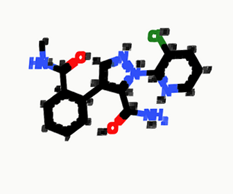 CNC(=O)c1ccccc1-c1cnn(-c2ncccc2Cl)c1C(N)=O